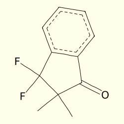 CC1(C)C(=O)c2ccccc2C1(F)F